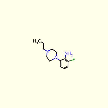 CCCN1CCN(c2cccc(F)c2N)CC1